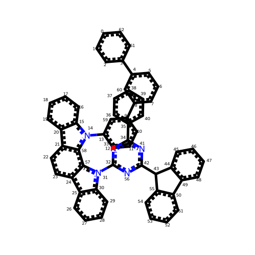 c1ccc(-c2cccc(-c3cccc(-n4c5ccccc5c5ccc6c7ccccc7n(-c7nc(-c8ccccc8)nc(C8c9ccccc9-c9ccccc98)n7)c6c54)c3)c2)cc1